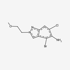 COCCn1cc2c(Br)c(N)c(Cl)cc2n1